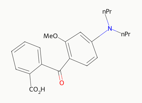 CCCN(CCC)c1ccc(C(=O)c2ccccc2C(=O)O)c(OC)c1